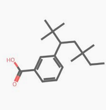 CCC(C)(C)CC(c1cccc(C(=O)O)c1)C(C)(C)C